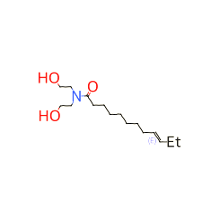 CC/C=C/CCCCCCCC(=O)N(CCO)CCO